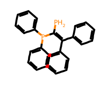 PC(=C(c1ccccc1)c1ccccc1)P(c1ccccc1)c1ccccc1